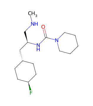 CNC[C@H](C[C@H]1CC[C@H](F)CC1)NC(=O)N1CCCCC1